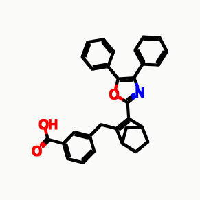 O=C(O)c1cccc(CC2=C(c3nc(-c4ccccc4)c(-c4ccccc4)o3)C3CCC2C3)c1